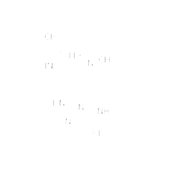 C=CC(=O)Nc1cc(CN(C)C)cc(Nc2ncc(Cl)c(Nc3ccc4ccccc4c3)n2)c1